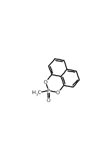 CP1(=O)Oc2cccc3cccc(c23)O1